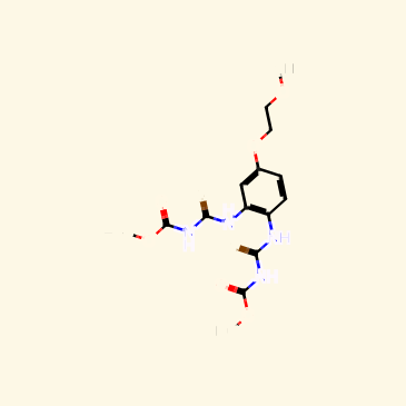 COCCOc1ccc(NC(=S)NC(=O)OC)c(NC(=S)NC(=O)OC)c1